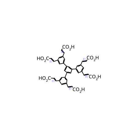 O=C(O)/C=C/c1cc(/C=C/C(=O)O)cc(-c2cc(-c3cc(/C=C/C(=O)O)cc(/C=C/C(=O)O)c3)cc(-c3cc(/C=C/C(=O)O)cc(/C=C/C(=O)O)c3)c2)c1